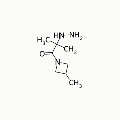 CC1CN(C(=O)C(C)(C)NN)C1